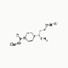 CC(CCN=[N+]=[N-])C1CCN(C(=O)OC(C)(C)C)CC1